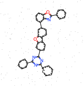 c1ccc(-c2nc(-c3ccccc3)nc(-c3ccc4c(c3)oc3cc(-c5cccc6oc(-c7ccccc7)nc56)ccc34)n2)cc1